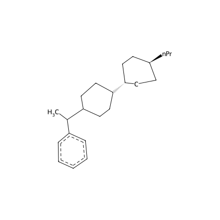 CCC[C@H]1CC[C@H](C2CCC(C(C)c3ccccc3)CC2)CC1